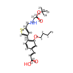 CCCCOc1cc(/C=C/C(=O)O)ccc1-c1csc(CNCC(=O)OC(C)(C)C)c1